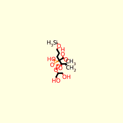 C=C(C)C(=O)C(CCCO[SiH3])(C(=O)O)P(=O)(O)OOC(CO)CO